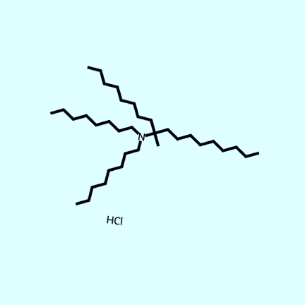 CCCCCCCCCC(C)(CCCCCCCC)N(CCCCCCCC)CCCCCCCC.Cl